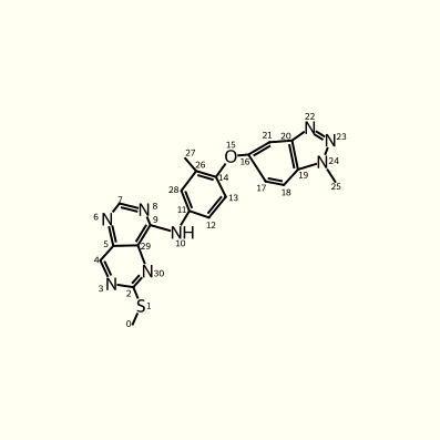 CSc1ncc2ncnc(Nc3ccc(Oc4ccc5c(c4)nnn5C)c(C)c3)c2n1